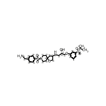 CN(C)S(=O)(=O)c1cccc(OC[C@@H](O)CNC2COC3(CCN(S(=O)(=O)c4ccc(CN)cc4)CC3)C2)c1